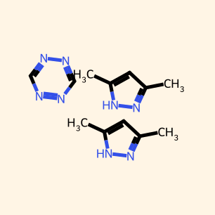 Cc1cc(C)[nH]n1.Cc1cc(C)[nH]n1.c1nncnn1